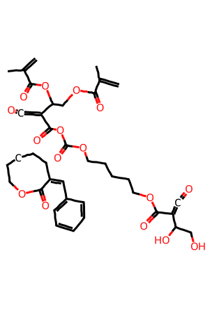 C=C(C)C(=O)OCC(OC(=O)C(=C)C)C(=C=O)C(=O)OC(=O)OCCCCCOC(=O)C(=C=O)C(O)CO.O=C1OCCCCCC1=Cc1ccccc1